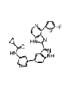 O=C(Nc1cncc(-c2ccc3[nH]nc(-c4nc5c(-c6ccc(F)s6)nccc5[nH]4)c3c2)c1)C1CC1